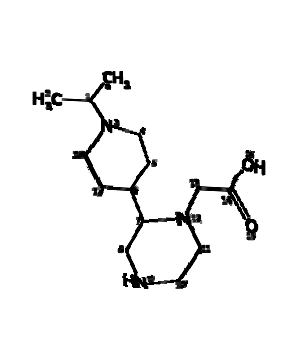 CC(C)N1CCC(C2CNC[CH]N2CC(=O)O)CC1